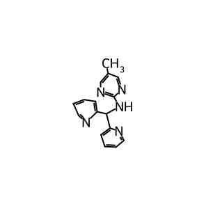 Cc1cnc(NC(c2ccccn2)c2ccccn2)nc1